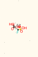 O=S(=O)(O)C(F)F.[Li+].[O-]B(O)O